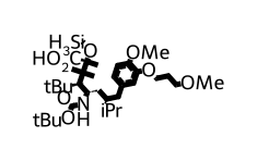 COCCCOc1cc(C[C@@H](C[C@H](NC(=O)OC(C)(C)C)[C@@H](C(C)(C)C)C(C)(C)[C@@](C)(O[SiH3])C(=O)O)C(C)C)ccc1OC